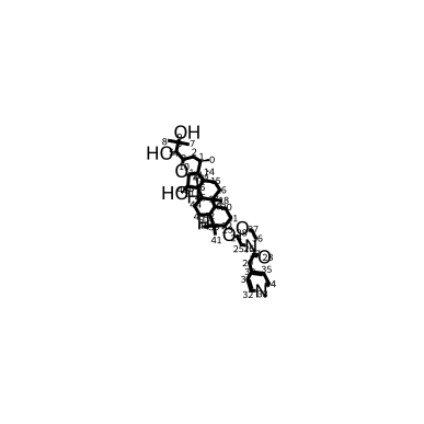 C[C@@H]1CC([C@H](O)C(C)(C)O)OC2C1[C@@]1(C)CCC34C[C@@]35CC[C@H](OC3CN(C(=O)Cc6ccncc6)CCO3)C(C)(C)[C@@H]5CC[C@H]4[C@]1(C)[C@H]2O